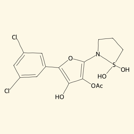 CC(=O)Oc1c(N2CCCS2(O)O)oc(-c2cc(Cl)cc(Cl)c2)c1O